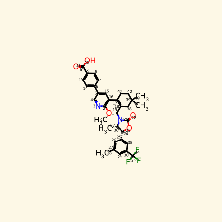 COc1ncc(-c2ccc(C(=O)O)cc2)cc1C1=C(CN2C(=O)O[C@H](c3cc(C)cc(C(F)(F)F)c3)[C@@H]2C)CC(C)(C)CC1